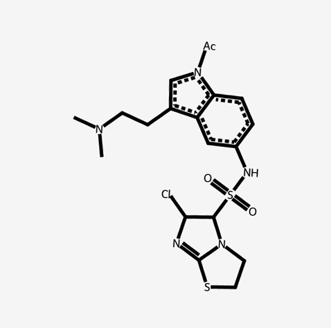 CC(=O)n1cc(CCN(C)C)c2cc(NS(=O)(=O)C3C(Cl)N=C4SCCN43)ccc21